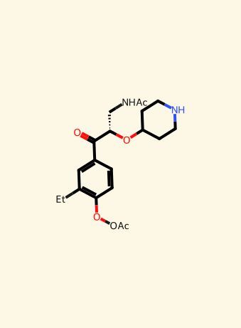 CCc1cc(C(=O)[C@H](CNC(C)=O)OC2CCNCC2)ccc1OOC(C)=O